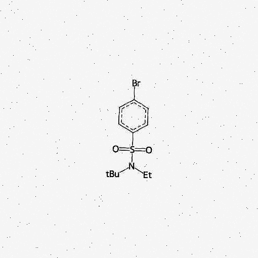 CCN(C(C)(C)C)S(=O)(=O)c1ccc(Br)cc1